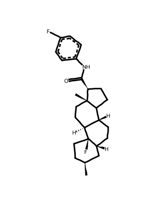 C[C@H]1CC[C@@]2(F)[C@H](CC[C@H]3C4CC[C@H](C(=O)Nc5ccc(F)cc5)[C@@]4(C)CC[C@@H]32)C1